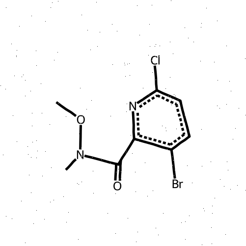 CON(C)C(=O)c1nc(Cl)ccc1Br